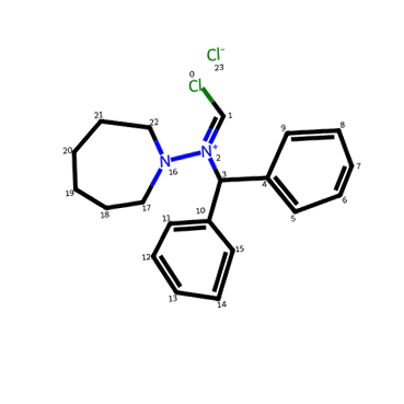 Cl/C=[N+](/C(c1ccccc1)c1ccccc1)N1CCCCCC1.[Cl-]